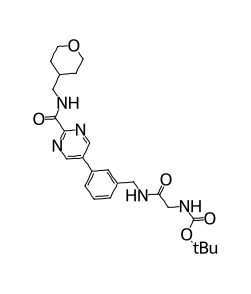 CC(C)(C)OC(=O)NCC(=O)NCc1cccc(-c2cnc(C(=O)NCC3CCOCC3)nc2)c1